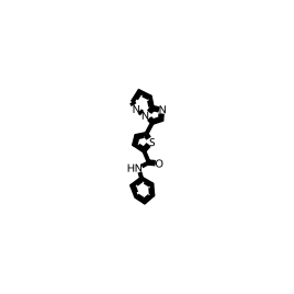 O=C(Nc1ccccc1)c1ccc(-c2cnc3cccnn23)s1